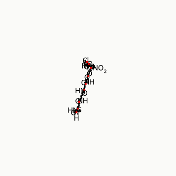 O=C(CCCCCNC(=O)CCCCC1SCC2NC(=O)NC21)NCCCCCC(=O)NCCOCCOCCOc1cc([N+](=O)[O-])ccc1NC(=O)c1cc(Cl)ccc1O